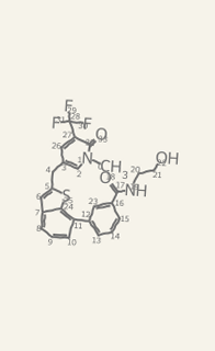 Cn1cc(Cc2cc3cccc(-c4cccc(C(=O)NCCO)c4)c3s2)cc(C(F)(F)F)c1=O